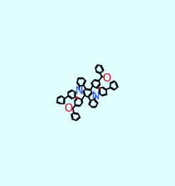 O=C(c1ccccc1)c1ccc(-c2c3c4ccccc4n(-c4ccc(-c5ccccc5)cc4)c3c(-c3ccc(C(=O)c4ccccc4)cc3)c3c4ccccc4n(-c4ccc(-c5ccccc5)cc4)c23)cc1